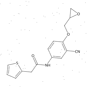 N#Cc1cc(NC(=O)Cc2cccs2)ccc1OCC1CO1